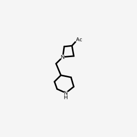 CC(=O)C1CN(CC2CCNCC2)C1